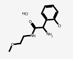 COCCNC(=O)C(N)c1ccccc1Cl.Cl